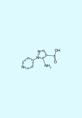 Nc1c(C(=O)O)cnn1-c1ccncc1